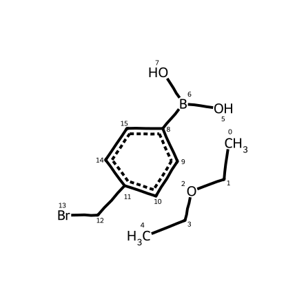 CCOCC.OB(O)c1ccc(CBr)cc1